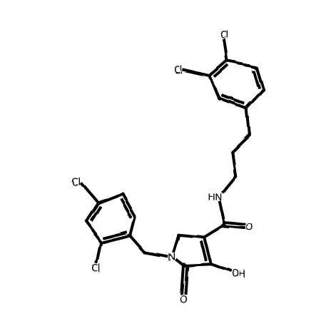 O=C(NCCCc1ccc(Cl)c(Cl)c1)C1=C(O)C(=O)N(Cc2ccc(Cl)cc2Cl)C1